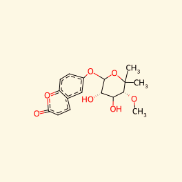 CO[C@@H]1C(O)[C@H](O)C(Oc2ccc3oc(=O)ccc3c2)OC1(C)C